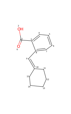 O=C(O)c1ccccc1C=C1CCCCC1